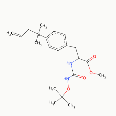 C=CC[Si](C)(C)c1ccc(CC(NC(=O)NOC(C)(C)C)C(=O)OC)cc1